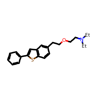 CCN(CC)CCOCCc1ccc2sc(-c3ccccc3)cc2c1